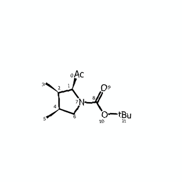 CC(=O)[C@@H]1[C@H](C)[C@H](C)CN1C(=O)OC(C)(C)C